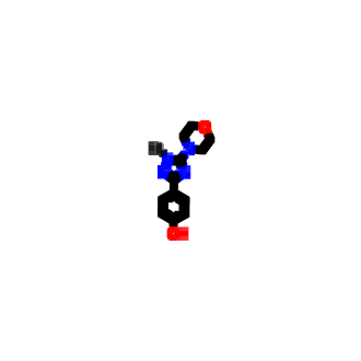 CCn1nc(-c2ccc(O)cc2)nc1N1CCOCC1